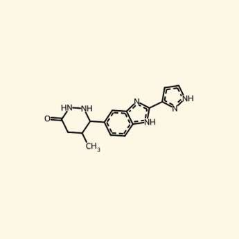 CC1CC(=O)NNC1c1ccc2[nH]c(-c3cc[nH]n3)nc2c1